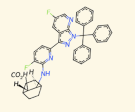 O=C(O)[C@H]1C2CCC(CC2)[C@@H]1Nc1nc(-c2nn(C(c3ccccc3)(c3ccccc3)c3ccccc3)c3ncc(F)cc23)ccc1F